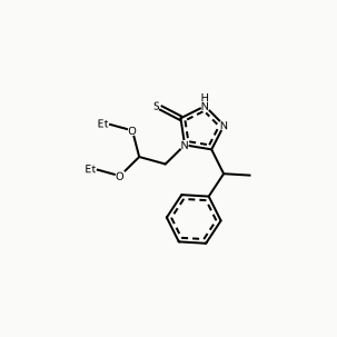 CCOC(Cn1c(C(C)c2ccccc2)n[nH]c1=S)OCC